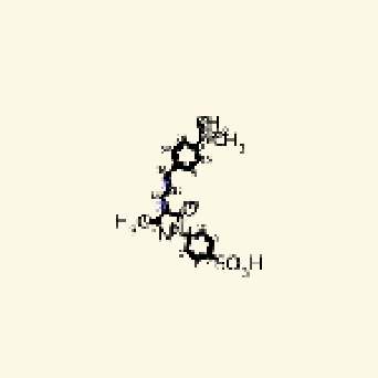 CC1=NN(c2ccc(S(=O)(=O)O)cc2)C(=O)/C1=C\C=C\c1ccc(N(C)C)cc1